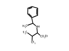 CCOC(=O)C(NC(C)c1ccccc1)C(C(F)(F)F)C(F)(F)F